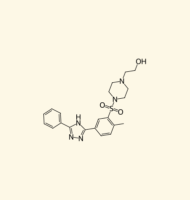 Cc1ccc(-c2nnc(-c3ccccc3)[nH]2)cc1S(=O)(=O)N1CCN(CCO)CC1